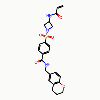 C=CC(=O)NC1CN(S(=O)(=O)c2ccc(C(=O)NCc3ccc4c(c3)CCCO4)cc2)C1